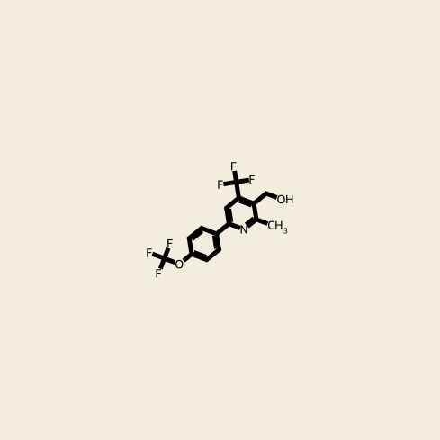 Cc1nc(-c2ccc(OC(F)(F)F)cc2)cc(C(F)(F)F)c1CO